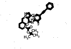 CC(C)(C)OC(=O)N1CCCC(Cn2ncc(Cl)c2C(=O)Nc2ncc(C#Cc3ccccc3)cc2F)C1